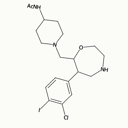 CC(=O)NC1CCN(CC2OCCNCC2c2ccc(I)c(Cl)c2)CC1